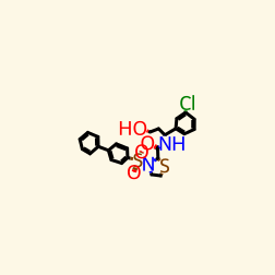 O=C(NC(CCO)c1cccc(Cl)c1)C1SCCN1S(=O)(=O)c1ccc(-c2ccccc2)cc1